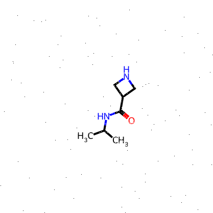 CC(C)NC(=O)C1CNC1